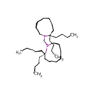 CCCCC1(CCCC)CCCCCCCP1CP1CCCCCCCC1(CCCC)CCCC